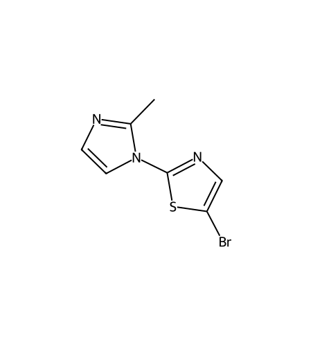 Cc1nccn1-c1ncc(Br)s1